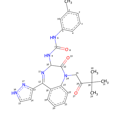 Cc1cccc(NC(=O)NC2N=C(c3cc[nH]n3)c3ccccc3N(CC(=O)C(C)(C)C)C2=O)c1